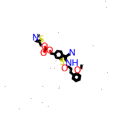 CCOc1ccccc1CCC(=O)Nc1sc2c(c1C#N)CCC(COC(=O)OCc1cncs1)C2